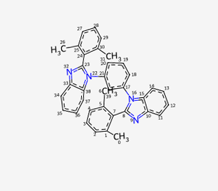 Cc1cccc(C)c1-c1nc2ccccc2n1-c1cccc(-n2c(-c3c(C)cccc3C)nc3ccccc32)c1